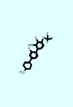 CC1CC=C(c2ccc(-c3ccc(OC(F)(F)F)c(F)c3O)c(F)c2)CC1